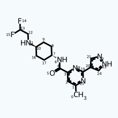 Cc1cc(C(=O)N[C@H]2CC[C@H](NCC(F)F)CC2)nc(-c2cn[nH]c2)n1